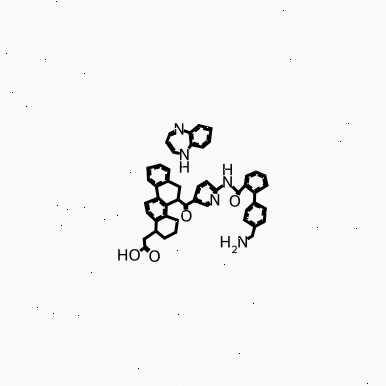 C1=CNc2ccccc2N=C1.NCc1ccc(-c2ccccc2C(=O)Nc2ccc(C(=O)C3Cc4ccccc4-c4ccc5c(c43)CCCC5CC(=O)O)cn2)cc1